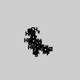 CS(=O)(=O)Nc1ccc2c(c1)P(=O)(O)N=C(c1c(O)c(-c3cccs3)nn(Cc3ccc(F)c(Cl)c3)c1=O)N2